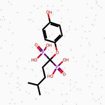 CC(C)CCC(Oc1ccc(O)cc1)(P(=O)(O)O)P(=O)(O)O